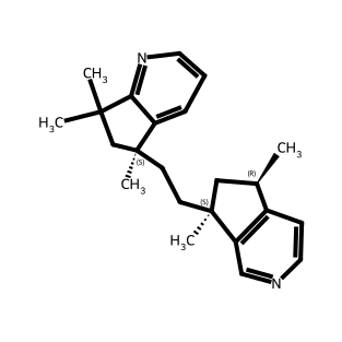 C[C@@H]1C[C@](C)(CC[C@@]2(C)CC(C)(C)c3ncccc32)c2cnccc21